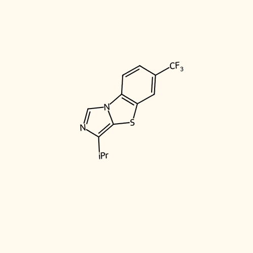 CC(C)c1ncn2c1sc1cc(C(F)(F)F)ccc12